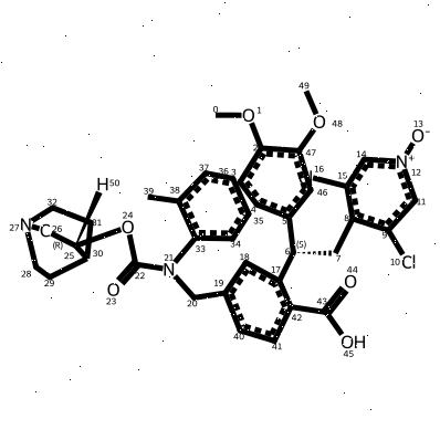 COc1ccc([C@H](Cc2c(Cl)c[n+]([O-])cc2Cl)c2cc(CN(C(=O)O[C@H]3CN4CCC3CC4)c3ccccc3C)ccc2C(=O)O)cc1OC